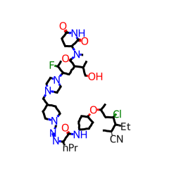 CCCC(/N=N\CN1CCC(CN2CCN(C(CC(C(=O)N(C)C3CCC(=O)NC3=O)C(C)CO)C(C)F)CC2)CC1)C(=O)NC1CCC(OC(C)CC(Cl)C(CC)[C@@H](C)C#N)CC1